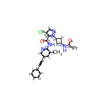 Cc1cc(C#Cc2ccccc2)cnc1NC(=O)c1c(Cl)cnn1C1CC(NC(=O)C(C)C)C1